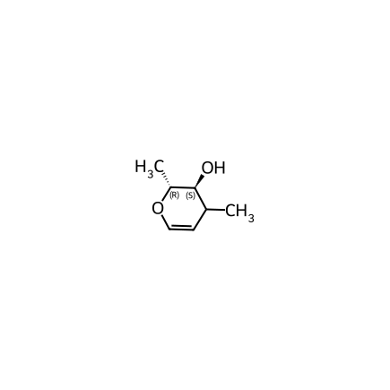 CC1C=CO[C@H](C)[C@H]1O